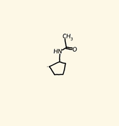 CC(=O)NC1[CH]CCC1